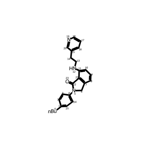 CCCCc1ccc(N2Cc3cccc(NCCc4cccnc4)c3C2=O)cc1